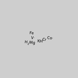 [Co].[Cr].[Fe].[KH].[MgH2].[V]